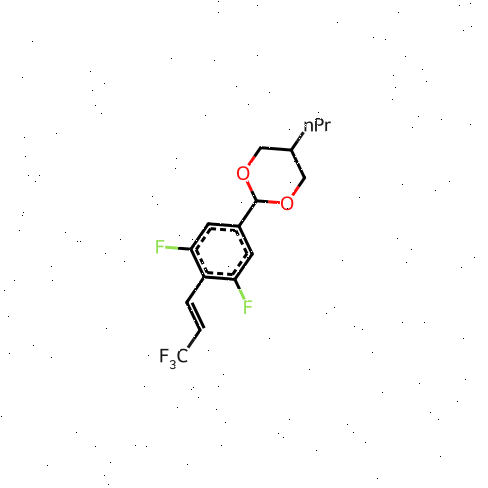 CCCC1COC(c2cc(F)c(/C=C/C(F)(F)F)c(F)c2)OC1